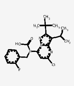 CC(C)c1c(C(C)(C)C)nn2c(N(Cc3ccccc3F)C(=O)O)cc(Cl)nc12